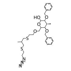 CC(CSCCN=[N+]=[N-])CSCCOCC1OC(O)C(OCc2ccccc2)[C@@H](C)[C@H]1OCc1ccccc1